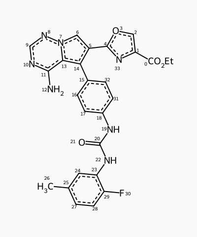 CCOC(=O)c1coc(-c2cn3ncnc(N)c3c2-c2ccc(NC(=O)Nc3cc(C)ccc3F)cc2)n1